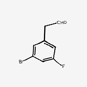 O=CCc1cc(F)cc(Br)c1